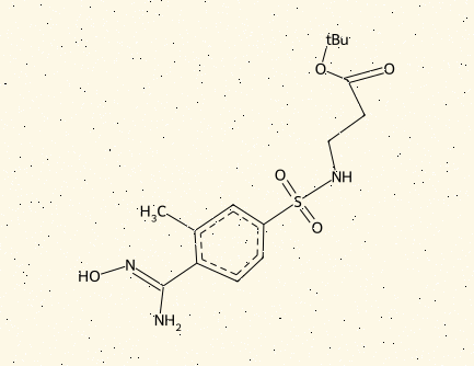 Cc1cc(S(=O)(=O)NCCC(=O)OC(C)(C)C)ccc1C(N)=NO